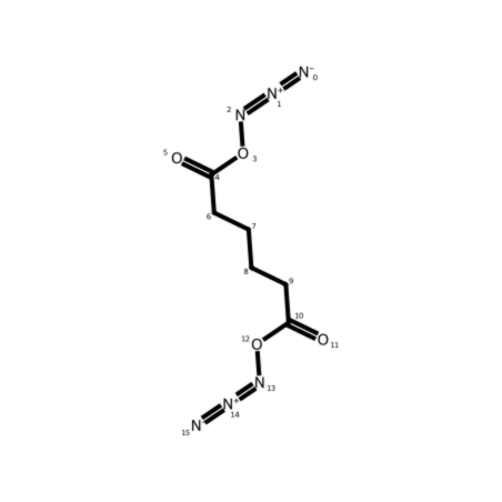 [N-]=[N+]=NOC(=O)CCCCC(=O)ON=[N+]=[N-]